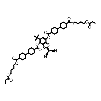 CCC(=O)OCCCCOC(=O)C1CCC(C2CCC(C(=O)Oc3cc(C(C)(C)C)c(OC(=O)C4CCC(C5CCC(C(=O)OCCCCOC(=O)CC)CC5)CC4)c4c3SC(=C(C#N)C#N)S4)CC2)CC1